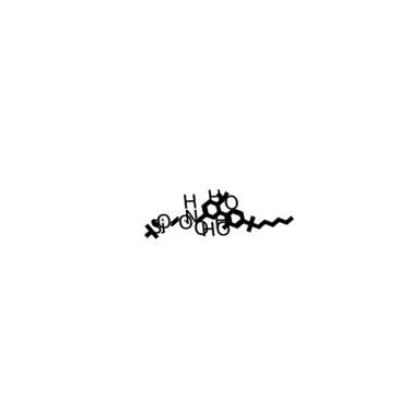 CCCCCCC(C)(C)c1cc(O)c2c(c1)OC(C)(C)[C@@H]1CC=C(C(=O)NOCCO[Si](C)(C)C(C)(C)C)C[C@@H]21